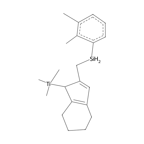 Cc1cccc([SiH2]CC2=CC3=C(CCCC3)[CH]2[Ti]([CH3])([CH3])[CH3])c1C